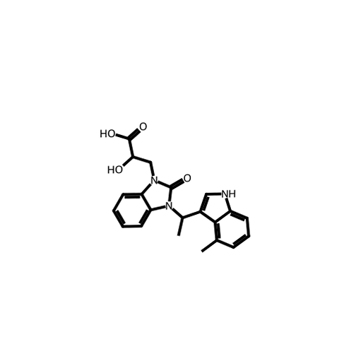 Cc1cccc2[nH]cc(C(C)n3c(=O)n(CC(O)C(=O)O)c4ccccc43)c12